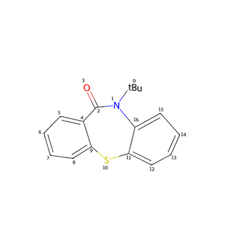 CC(C)(C)N1C(=O)c2ccccc2Sc2ccccc21